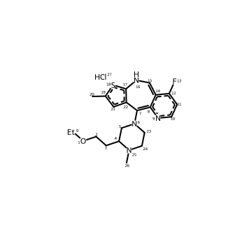 CCOCCC1CN(C2=c3nccc(F)c3=CNc3sc(C)cc32)CCN1C.Cl